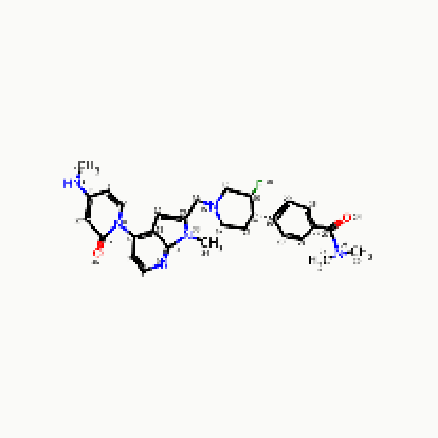 CNc1ccn(-c2ccnc3c2cc(CN2CC[C@@H](c4ccc(C(=O)N(C)C)cc4)[C@H](F)C2)n3C)c(=O)c1